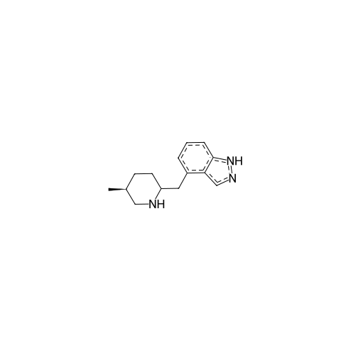 C[C@H]1CCC(Cc2cccc3[nH]ncc23)NC1